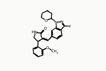 COc1ccccc1C1CNC(=O)C1=Cc1ccc2c(I)nn(C3CCCCO3)c2c1